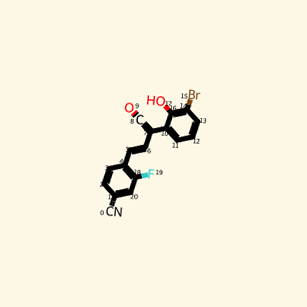 N#Cc1ccc(/C=C/C(=C=O)c2cccc(Br)c2O)c(F)c1